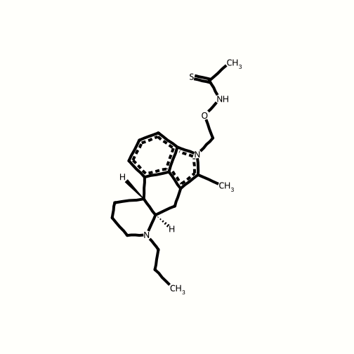 CCCN1CCC[C@@H]2c3cccc4c3c(c(C)n4CONC(C)=S)C[C@H]21